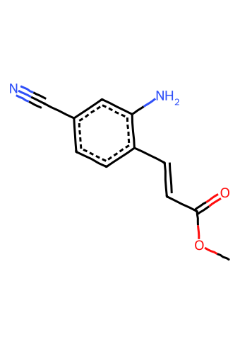 COC(=O)/C=C/c1ccc(C#N)cc1N